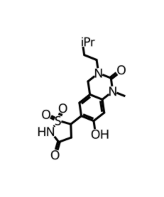 CC(C)CCN1Cc2cc(C3CC(=O)NS3(=O)=O)c(O)cc2N(C)C1=O